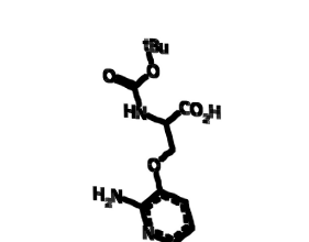 CC(C)(C)OC(=O)NC(COc1cccnc1N)C(=O)O